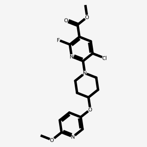 COC(=O)c1cc(Cl)c(N2CCC(Oc3ccc(OC)nc3)CC2)nc1F